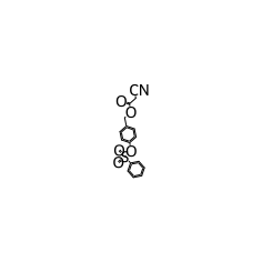 N#CCC(=O)OCc1ccc(OS(=O)(=O)c2ccccc2)cc1